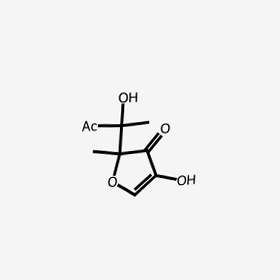 CC(=O)C(C)(O)C1(C)OC=C(O)C1=O